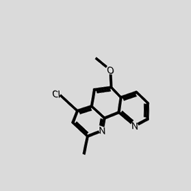 COc1cc2c(Cl)cc(C)nc2c2ncccc12